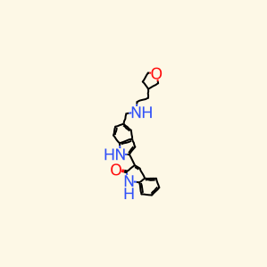 O=c1[nH]c2ccccc2cc1-c1cc2cc(CNCCC3CCOC3)ccc2[nH]1